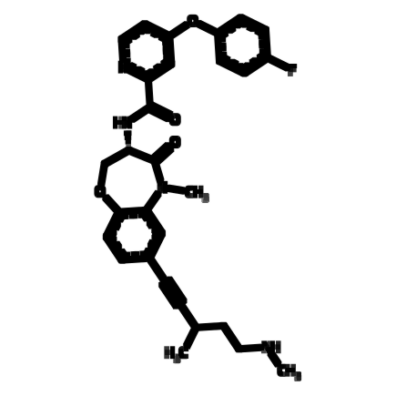 CNCCC(C)C#Cc1ccc2c(c1)N(C)C(=O)[C@@H](NC(=O)c1cc(Oc3ccc(F)cc3)ccn1)CO2